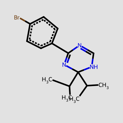 CC(C)C1(C(C)C)N=C(c2ccc(Br)cc2)N=CN1